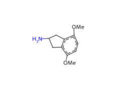 COc1ccc(OC)c2c1CC(N)C2